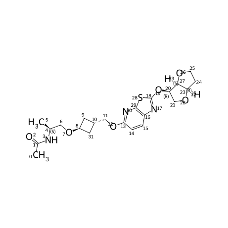 CC(=O)N[C@@H](C)CO[C@H]1C[C@H](COc2ccc3nc(O[C@@H]4CO[C@@H]5CCO[C@@H]54)sc3n2)C1